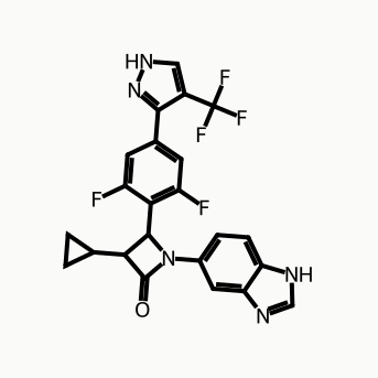 O=C1C(C2CC2)C(c2c(F)cc(-c3n[nH]cc3C(F)(F)F)cc2F)N1c1ccc2[nH]cnc2c1